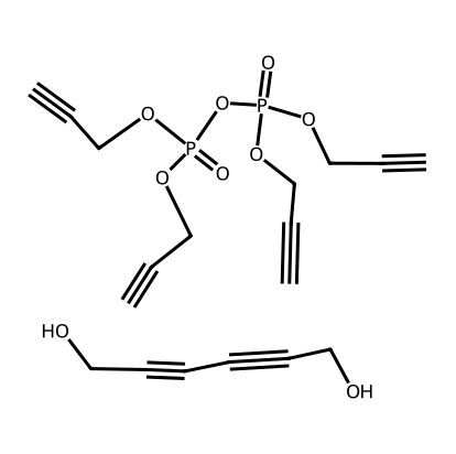 C#CCOP(=O)(OCC#C)OP(=O)(OCC#C)OCC#C.OCC#CC#CCO